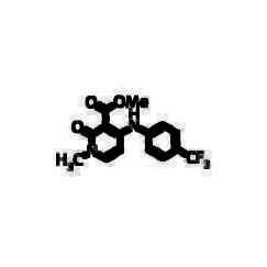 COC(=O)c1c(Nc2ccc(C(F)(F)F)cc2)ccn(C)c1=O